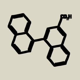 O=C(O)c1cc(-c2cccc3ccccc23)c2ccccc2c1